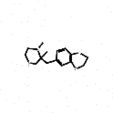 CN1CCNCC1(C)Cc1ccc2c(c1)OCCO2